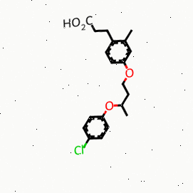 Cc1cc(OCCC(C)Oc2ccc(Cl)cc2)ccc1CCC(=O)O